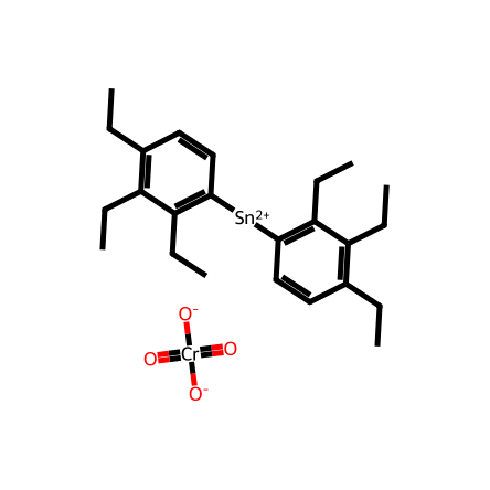 CCc1cc[c]([Sn+2][c]2ccc(CC)c(CC)c2CC)c(CC)c1CC.[O]=[Cr](=[O])([O-])[O-]